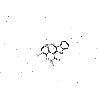 Cc1c(Br)cccc1/C(C(N)=O)=C1/Nc2ccccc2/C1=N/O